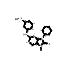 Cn1c(=O)n(-c2ccccc2)c2nc(Nc3cccc(C(=O)O)c3)ncc21